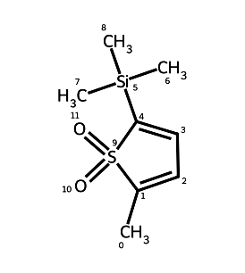 CC1=CC=C([Si](C)(C)C)S1(=O)=O